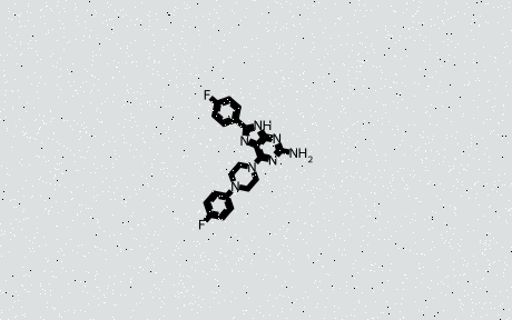 Nc1nc(N2CCN(c3ccc(F)cc3)CC2)c2nc(-c3ccc(F)cc3)[nH]c2n1